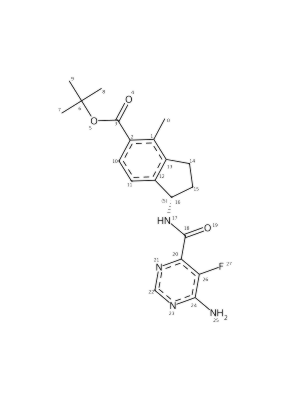 Cc1c(C(=O)OC(C)(C)C)ccc2c1CC[C@@H]2NC(=O)c1ncnc(N)c1F